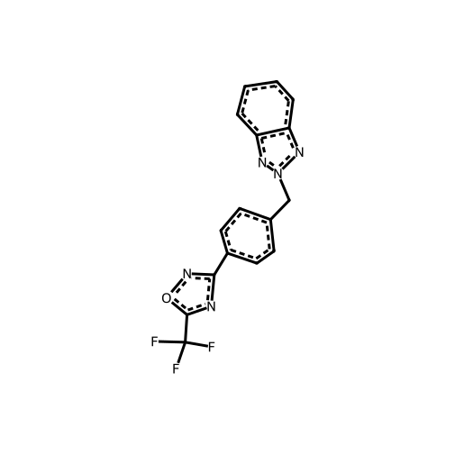 FC(F)(F)c1nc(-c2ccc(Cn3nc4ccccc4n3)cc2)no1